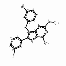 COc1nc(C)c2nc(-c3cncc(F)c3)n(Cc3cccc(Br)c3)c2n1